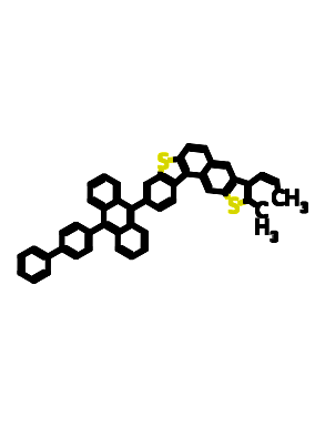 C/C=C\c1c(C)sc2cc3c(ccc4sc5cc(-c6c7ccccc7c(-c7ccc(-c8ccccc8)cc7)c7ccccc67)ccc5c43)cc12